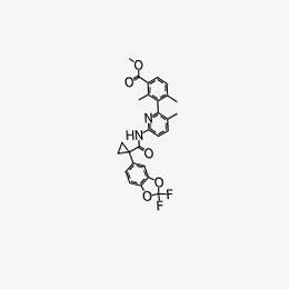 COC(=O)c1ccc(C)c(-c2nc(NC(=O)C3(c4ccc5c(c4)OC(F)(F)O5)CC3)ccc2C)c1C